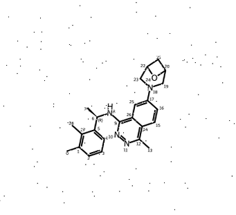 Cc1cccc([C@@H](C)Nc2nnc(C)c3ccc(N4CC5CC(C4)O5)cc23)c1C